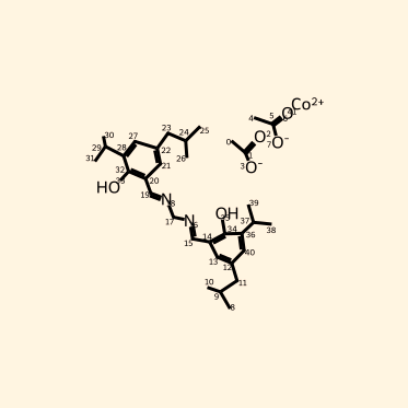 CC(=O)[O-].CC(=O)[O-].CC(C)Cc1cc(C=NCN=Cc2cc(CC(C)C)cc(C(C)C)c2O)c(O)c(C(C)C)c1.[Co+2]